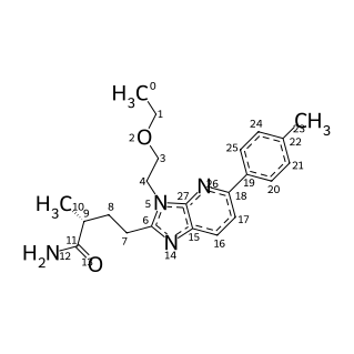 CCOCCn1c(CC[C@@H](C)C(N)=O)nc2ccc(-c3ccc(C)cc3)nc21